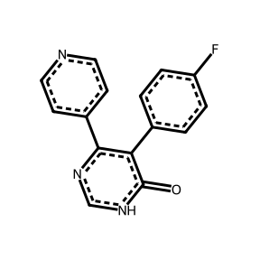 O=c1[nH]cnc(-c2ccncc2)c1-c1ccc(F)cc1